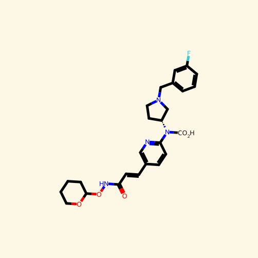 O=C(/C=C/c1ccc(N(C(=O)O)[C@@H]2CCN(Cc3cccc(F)c3)C2)nc1)NOC1CCCCO1